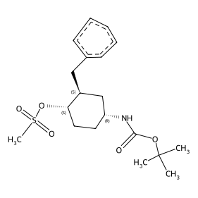 CC(C)(C)OC(=O)N[C@@H]1CC[C@H](OS(C)(=O)=O)[C@@H](Cc2ccccc2)C1